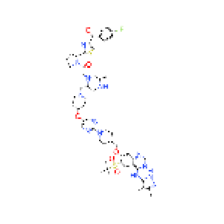 Cc1n[nH]c(Nc2ncnc3cc(OCC4CCN(c5ncc(OC6CCN(C[C@H]7CN[C@H](C)CN7CC(=O)N7CCCC7c7nc(C(=O)c8ccc(F)cc8)cs7)CC6)cn5)CC4)c(S(=O)(=O)C(C)(C)C)cc23)c1C